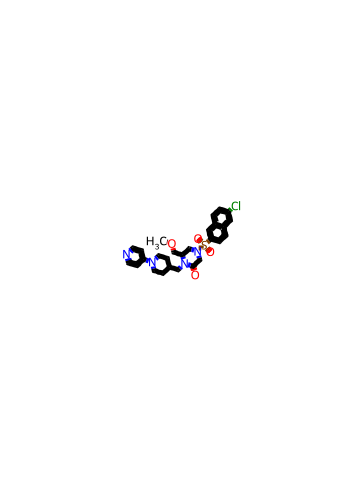 COCC1CN(S(=O)(=O)c2ccc3cc(Cl)ccc3c2)CC(=O)N1CC1CCN(c2ccncc2)CC1